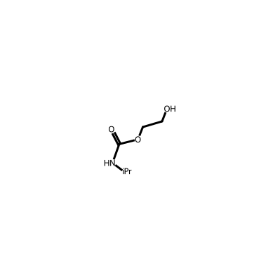 CC(C)NC(=O)OCCO